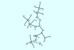 CC(C)C(CC(CO[Si](C)(C)C(C)(C)C)O[Si](C)(C)C(C)(C)C)N[S@+]([O-])C(C)(C)C